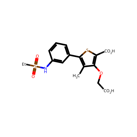 CCS(=O)(=O)Nc1cccc(-c2sc(C(=O)O)c(OCC(=O)O)c2C)c1